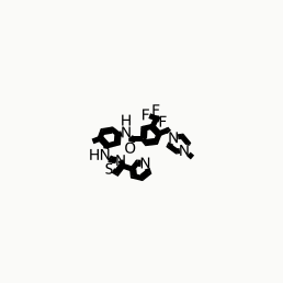 Cc1ccc(NC(=O)c2ccc(CN3CCN(C)CC3)c(C(F)(F)F)c2)cc1Nc1nc(-c2cccnc2)cs1